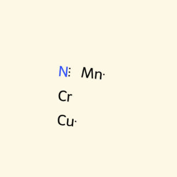 [Cr].[Cu].[Mn].[N]